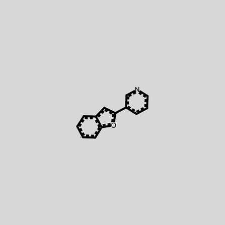 [c]1ccc2cc(-c3cccnc3)oc2c1